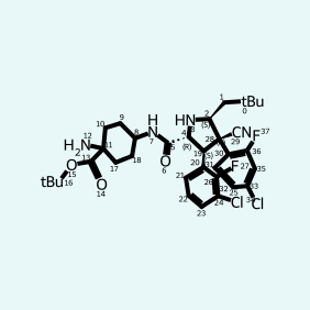 CC(C)(C)C[C@@H]1N[C@@H](C(=O)NC2CCC(N)(C(=O)OC(C)(C)C)CC2)[C@H](c2cccc(Cl)c2F)[C@@]1(C#N)c1ccc(Cl)cc1F